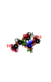 COc1c(Cl)ccc(Cl)c1C(=O)O.O=C(Nc1nc(OC(F)F)cc(OC(F)F)n1)NS(=O)(=O)c1ccccc1C(=O)O.O=C(O)c1cc(Oc2ccc(C(F)(F)F)cc2Cl)ccc1[N+](=O)[O-]